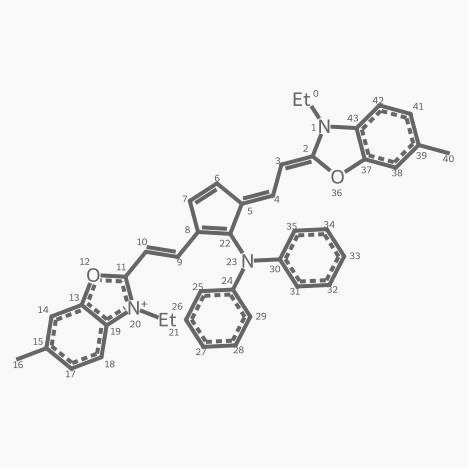 CCN1/C(=C/C=C2\C=CC(/C=C/c3oc4cc(C)ccc4[n+]3CC)=C2N(c2ccccc2)c2ccccc2)Oc2cc(C)ccc21